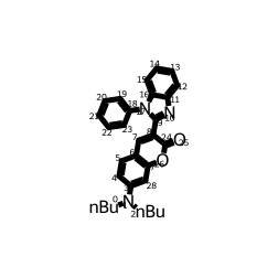 CCCCN(CCCC)c1ccc2cc(-c3nc4ccccc4n3-c3ccccc3)c(=O)oc2c1